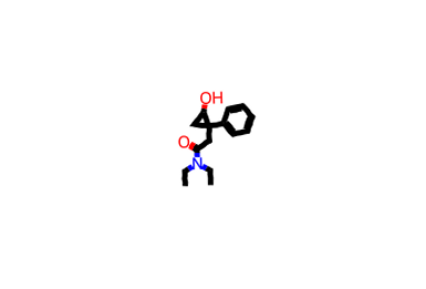 CCN(CC)C(=O)CC1(c2ccccc2)CC1O